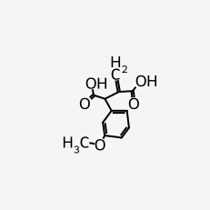 C=C(C(=O)O)C(C(=O)O)c1cccc(OC)c1